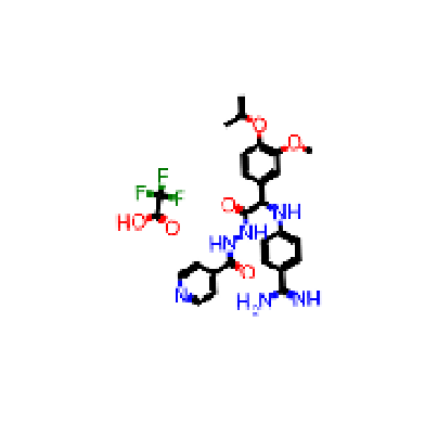 COc1cc(C(Nc2ccc(C(=N)N)cc2)C(=O)NNC(=O)c2ccncc2)ccc1OC(C)C.O=C(O)C(F)(F)F